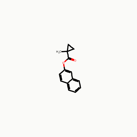 CC1(C(=O)Oc2ccc3ccccc3c2)CC1